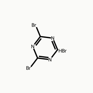 Br.Brc1ncnc(Br)n1